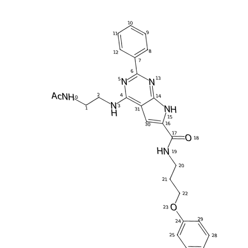 CC(=O)NCCNc1nc(-c2ccccc2)nc2[nH]c(C(=O)NCCCOc3ccccc3)cc12